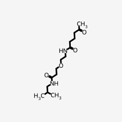 CC(=O)CCCC(=O)NCCOCCC(=O)NCC(C)C